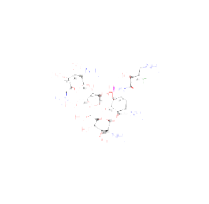 NC[C@@H](F)[C@H](O)C(=O)N[C@@H]1C[C@H](N)[C@@H](O[C@H]2O[C@H](CO)[C@@H](O)[C@H](O)[C@H]2N)[C@H](O[C@@H]2O[C@H](CO)[C@@H](O[C@H]3O[C@@H](CN)[C@@H](O)[C@H](O)[C@H]3N)[C@H]2O)[C@H]1O